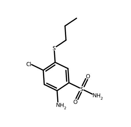 CCCSc1cc(S(N)(=O)=O)c(N)cc1Cl